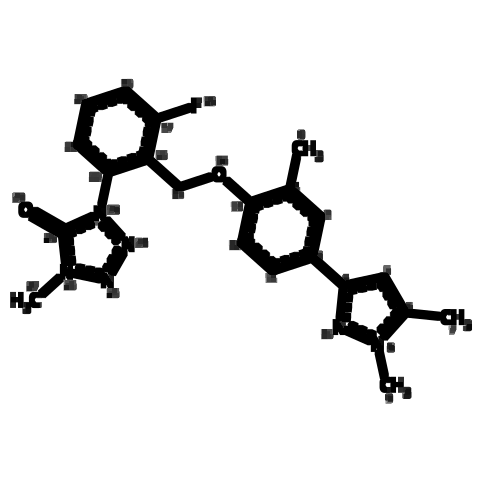 Cc1cc(-c2cc(C)n(C)n2)ccc1OCc1c(F)cccc1-n1nnn(C)c1=O